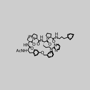 CC(=O)N[C@@H](Cc1ccc(OCc2ccccc2)cc1)C(=O)N[C@@H](CC(C)C)C(=O)N1CCC[C@H]1C(=O)N[C@@H](CCCNc1ncccn1)C(=O)N1CCC[C@H]1C(=O)NCCCc1ccccc1